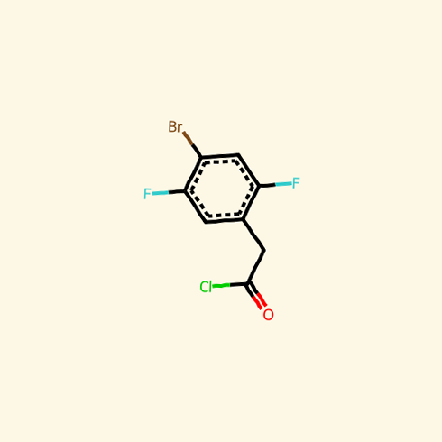 O=C(Cl)Cc1cc(F)c(Br)cc1F